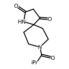 CC(C)C(=O)N1CCC2(CC1)NC(=O)CC2=O